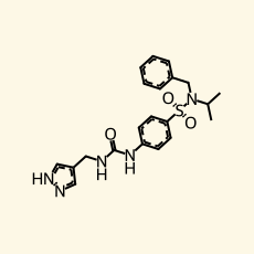 CC(C)N(Cc1ccccc1)S(=O)(=O)c1ccc(NC(=O)NCc2cn[nH]c2)cc1